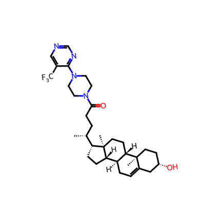 C[C@H](CCC(=O)N1CCN(c2ncncc2C(F)(F)F)CC1)[C@H]1CC[C@H]2[C@@H]3CC=C4C[C@@H](O)CC[C@]4(C)[C@H]3CC[C@]12C